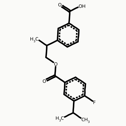 CC(C)c1cc(C(=O)OCC(C)c2cccc(C(=O)O)c2)ccc1F